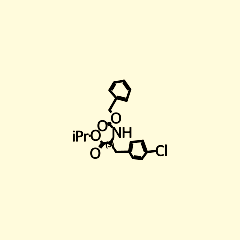 CC(C)OC(=O)[C@H](Cc1ccc(Cl)cc1)NC(=O)OCc1ccccc1